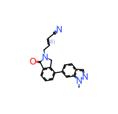 Cn1ncc2ccc(-c3cccc4c3CN(C/C=C/C#N)C4=O)cc21